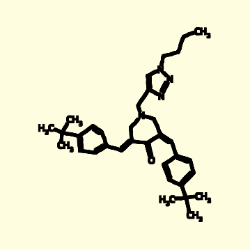 CCCCn1cc(CN2CC(=Cc3ccc(C(C)(C)C)cc3)C(=O)C(=Cc3ccc(C(C)(C)C)cc3)C2)nn1